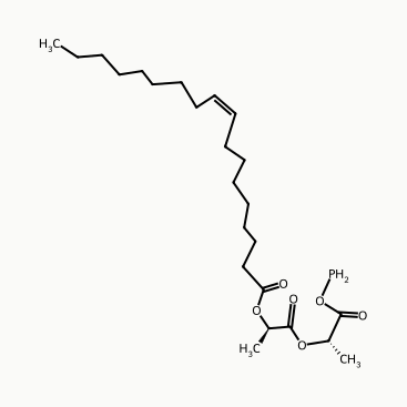 CCCCCCCC/C=C\CCCCCCCC(=O)O[C@H](C)C(=O)O[C@@H](C)C(=O)OP